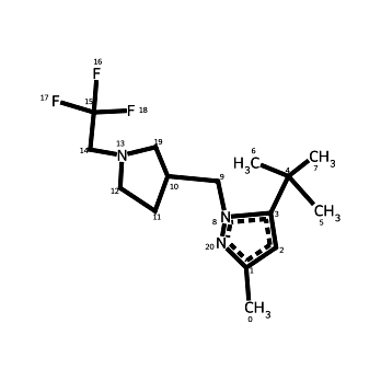 Cc1cc(C(C)(C)C)n(CC2CCN(CC(F)(F)F)C2)n1